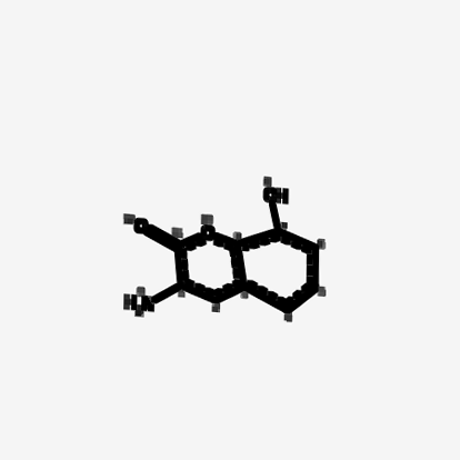 Nc1cc2cccc(O)c2oc1=O